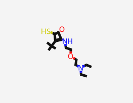 CCN(CC)CCOCCNC1=C(C(C)(C)C)C(S)C1=O